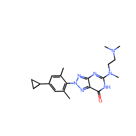 Cc1cc(C2CC2)cc(C)c1-n1nc2nc(N(C)CCN(C)C)[nH]c(=O)c2n1